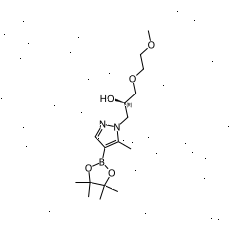 COCCOC[C@H](O)Cn1ncc(B2OC(C)(C)C(C)(C)O2)c1C